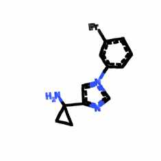 CC(C)c1cccc(-n2cnc(C3(N)CC3)c2)c1